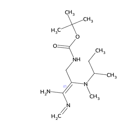 C=N/C(N)=C(/CNC(=O)OC(C)(C)C)N(C)C(C)CC